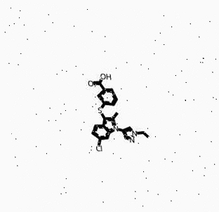 CCn1cc(-n2c(C)c(Sc3cccc(C(=O)O)c3)c3ccc(Cl)cc32)cn1